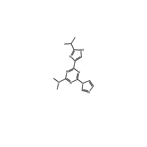 CC(C)c1nc(-c2nc(N(C)C)nc(-n3ccnc3)n2)c[nH]1